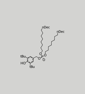 CCCCCCCCCCCCCCCCCCOP(=O)(OCCCCCCCCCCCCCCCCCC)OCc1cc(C(C)(C)C)c(O)c(C(C)(C)C)c1